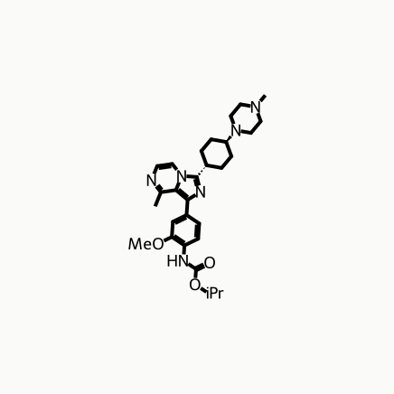 COc1cc(-c2nc([C@H]3CC[C@H](N4CCN(C)CC4)CC3)n3ccnc(C)c23)ccc1NC(=O)OC(C)C